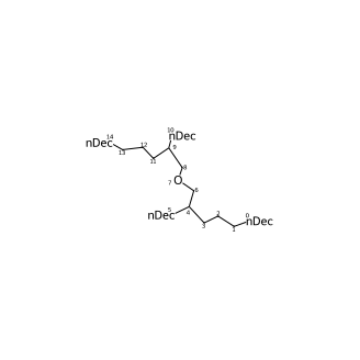 CCCCCCCCCCCCCC(CCCCCCCCCC)COCC(CCCCCCCCCC)CCCCCCCCCCCCC